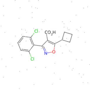 O=C(O)c1c(-c2c(Cl)cccc2Cl)noc1C1CCC1